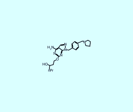 CCCC(O)CCOc1nc(N)c2cnn(Cc3ccc(CN4CCCC4)cc3)c2n1